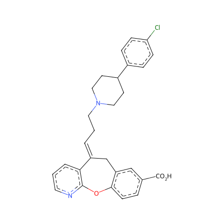 O=C(O)c1ccc2c(c1)CC(=CCCN1CCC(c3ccc(Cl)cc3)CC1)c1cccnc1O2